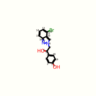 Oc1ccc(C(O)Cn2cc3c(Br)cccc3n2)cc1